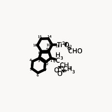 CC1C2=C(CCCC2)C2=C1[CH]([Ti+2][O]C=O)CCC2.C[O-].C[O-]